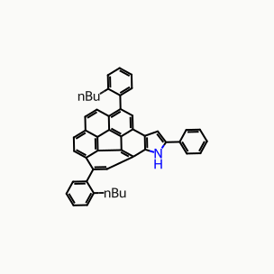 CCCCc1ccccc1-c1cc2c3cc(-c4ccccc4)[nH]c3c3cc(-c4ccccc4CCCC)c4ccc5ccc1c1c5c4c3c21